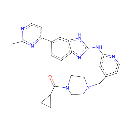 Cc1nccc(-c2ccc3nc(Nc4cc(CN5CCN(C(=O)C6CC6)CC5)ccn4)[nH]c3c2)n1